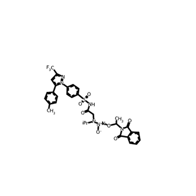 Cc1ccc(-c2cc(C(F)(F)F)nn2-c2ccc(S(=O)(=O)NC(=O)CN(C(C)C)[N+]([O-])=NOC(C)N3C(=O)c4ccccc4C3=O)cc2)cc1